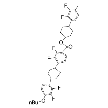 CCCCOc1ccc(C2CCC(c3ccc(C(=O)OC4CCC(c5ccc(C)c(F)c5F)CC4)c(F)c3F)CC2)c(F)c1F